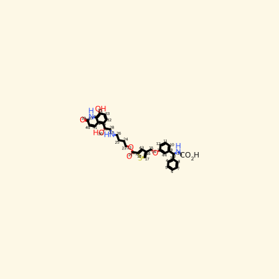 O=C(O)NC(c1ccccc1)c1cccc(OCc2csc(C(=O)OCCCCNCC(O)c3ccc(O)c4[nH]c(=O)ccc34)c2)c1